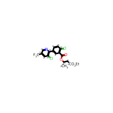 CCOC(=O)C[C@H](C)OC(=O)c1cc(-c2ncc(C(F)(F)F)cc2Cl)ccc1Cl